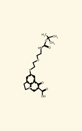 CC(C)(C)OC(=O)NCCOCCSc1cc2c3c(c1)c(=O)c(C(=O)O)cn3CC2